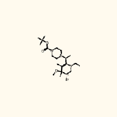 CCN1C[C@H](Br)C(C)(OC)C(C)=C1C(C)N1CCN(C(=O)OC(C)(C)C)CC1